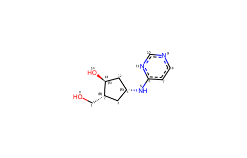 OC[C@H]1C[C@@H](Nc2ccncn2)C[C@@H]1O